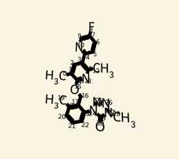 Cc1cc(-c2ccc(F)cn2)c(C)nc1OCc1c(C)cccc1-n1nnn(C)c1=O